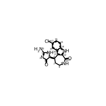 NC1=NC(=O)C(=C2CCNC(=O)c3[nH]c4ccc(Cl)cc4c32)N1